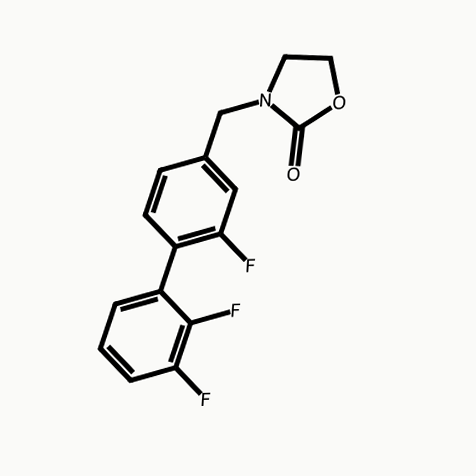 O=C1OCCN1Cc1ccc(-c2cccc(F)c2F)c(F)c1